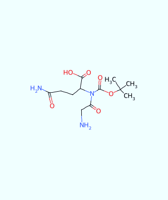 CC(C)(C)OC(=O)N(C(=O)CN)C(CCC(N)=O)C(=O)O